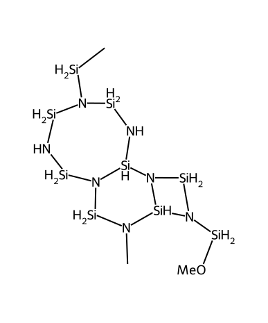 CO[SiH2]N1[SiH2]N2[SiH]3N[SiH2]N([SiH2]C)[SiH2]N[SiH2]N3[SiH2]N(C)[SiH]12